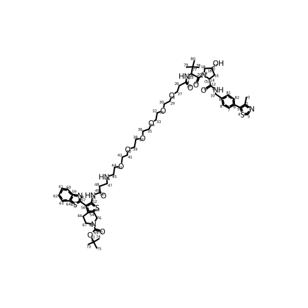 Cc1ncsc1-c1ccc(CNC(=O)[C@@H]2C[C@@H](O)CN2C(=O)[C@@H](NC(=O)CCOCCOCCOCCOCCOCCOCCNCCC(=O)Nc2sc3c(c2-c2nc4ccccc4s2)CCN(C(=O)OC(C)(C)C)C3)C(C)(C)C)cc1